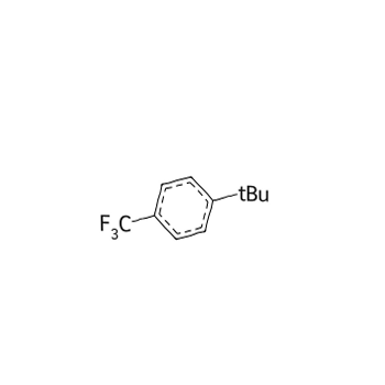 [CH2]C(C)(C)c1ccc(C(F)(F)F)cc1